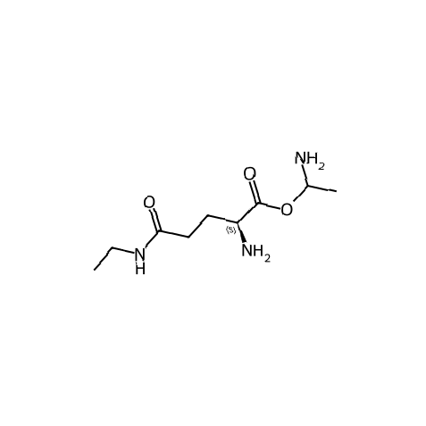 CCNC(=O)CC[C@H](N)C(=O)OC(C)N